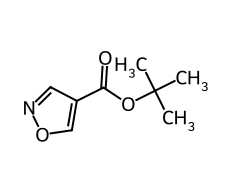 CC(C)(C)OC(=O)c1cnoc1